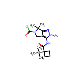 CC(=O)n1nc2c(c1NC(=O)C1([Si](C)(C)C)CCC1)CN(C(=O)Cl)C2(C)C